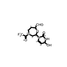 O=CC1CCN(C(=O)C(F)(F)F)CC(N2C=CC(O)NC2=O)O1